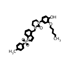 CCCCCOc1cc(N2CCCN(Cc3cccc4c3ccn4S(=O)(=O)c3ccc(C)cc3)C2=O)ccc1O